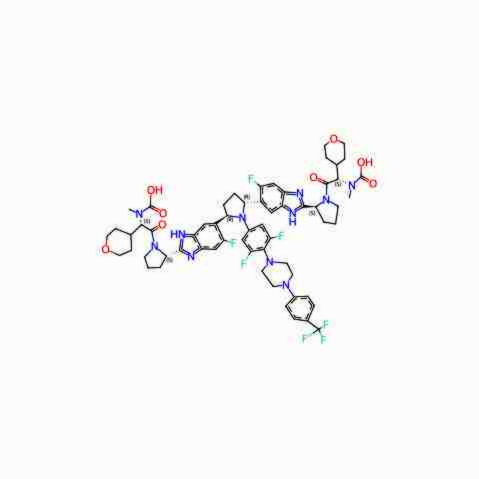 CN(C(=O)O)[C@H](C(=O)N1CCC[C@H]1c1nc2cc(F)c([C@H]3CC[C@H](c4cc5[nH]c([C@@H]6CCCN6C(=O)[C@H](C6CCOCC6)N(C)C(=O)O)nc5cc4F)N3c3cc(F)c(N4CCN(c5ccc(C(F)(F)F)cc5)CC4)c(F)c3)cc2[nH]1)C1CCOCC1